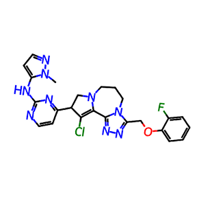 Cn1nccc1Nc1nccc(C2CN3CCCn4c(COc5ccccc5F)nnc4C3=C2Cl)n1